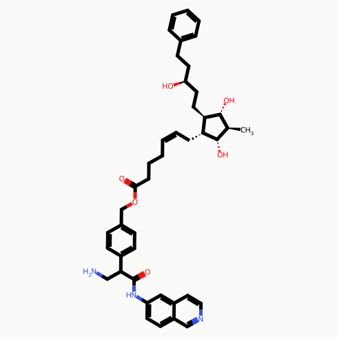 C[C@@H]1[C@@H](O)[C@H](CC[C@@H](O)CCc2ccccc2)[C@@H](C/C=C\CCCC(=O)OCc2ccc(C(CN)C(=O)Nc3ccc4cnccc4c3)cc2)[C@H]1O